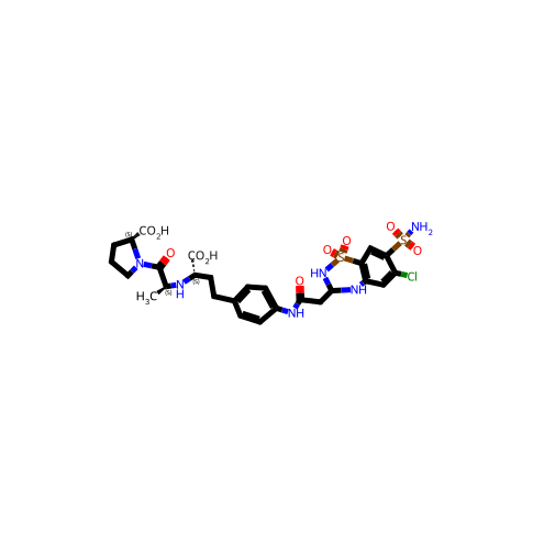 C[C@H](N[C@@H](CCc1ccc(NC(=O)CC2Nc3cc(Cl)c(S(N)(=O)=O)cc3S(=O)(=O)N2)cc1)C(=O)O)C(=O)N1CCC[C@H]1C(=O)O